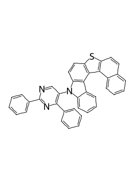 c1ccc(-c2ncc(-n3c4ccccc4c4c5c(ccc43)sc3ccc4ccccc4c35)c(-c3ccccc3)n2)cc1